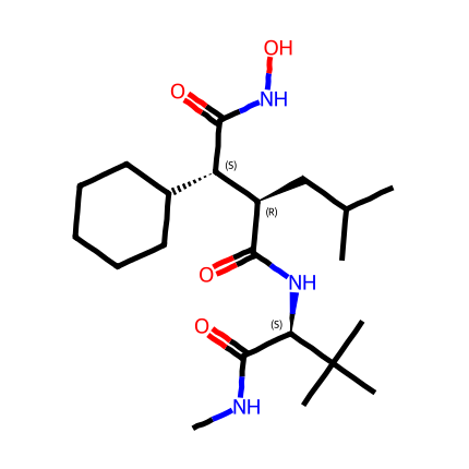 CNC(=O)[C@@H](NC(=O)[C@H](CC(C)C)[C@@H](C(=O)NO)C1CCCCC1)C(C)(C)C